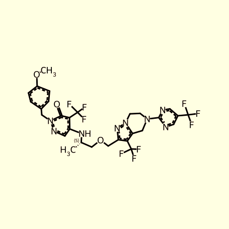 COc1ccc(Cn2ncc(N[C@@H](C)COCc3nn4c(c3C(F)(F)F)CN(c3ncc(C(F)(F)F)cn3)CC4)c(C(F)(F)F)c2=O)cc1